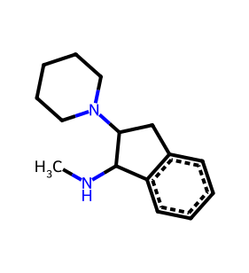 CNC1c2ccccc2CC1N1CCCCC1